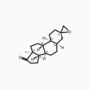 C[C@]12CC[C@H]3[C@@H](CC[C@@H]4C[C@@]5(CC[C@@H]43)CO5)[C@@H]1CCC2=O